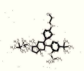 C[SiH](C)Oc1cc(C(C)(C)C)ccc1C1=C(c2ccc(OCCCl)cc2)C[C@@]2(C)[C@@H](CC[C@@H]2O[Si](C)(C)C(C)(C)C)C1